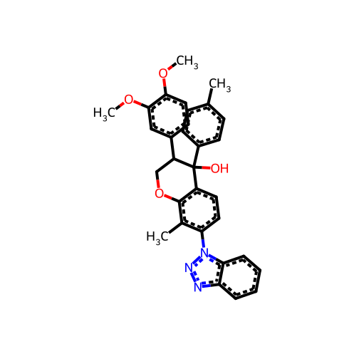 COc1ccc(C2COc3c(ccc(-n4nnc5ccccc54)c3C)C2(O)c2ccc(C)cc2)cc1OC